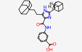 CC1(C)C2CC=C(c3nc(C(=O)Nc4cccc(C(=O)O)c4)c(CCC45CC6CC(CC(C6)C4)C5)[nH]3)C1C2